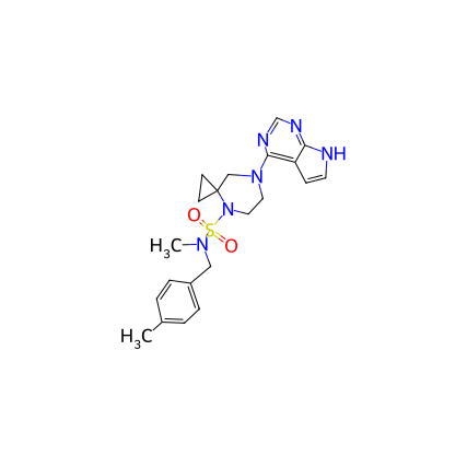 Cc1ccc(CN(C)S(=O)(=O)N2CCN(c3ncnc4[nH]ccc34)CC23CC3)cc1